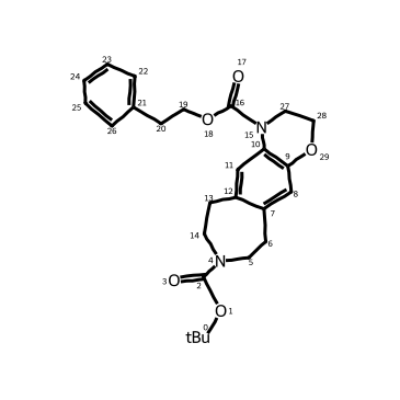 CC(C)(C)OC(=O)N1CCc2cc3c(cc2CC1)N(C(=O)OCCc1ccccc1)CCO3